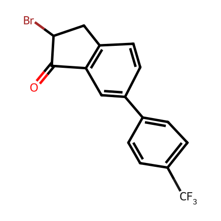 O=C1c2cc(-c3ccc(C(F)(F)F)cc3)ccc2CC1Br